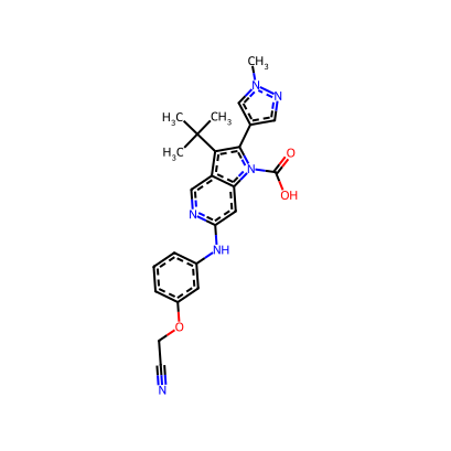 Cn1cc(-c2c(C(C)(C)C)c3cnc(Nc4cccc(OCC#N)c4)cc3n2C(=O)O)cn1